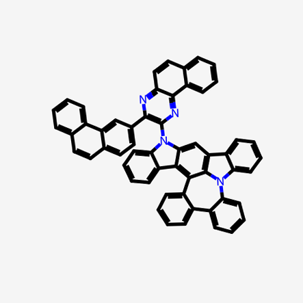 c1ccc2c(c1)-c1ccccc1-n1c3ccccc3c3cc4c(c-2c31)c1ccccc1n4-c1nc2c(ccc3ccccc32)nc1-c1ccc2ccc3ccccc3c2c1